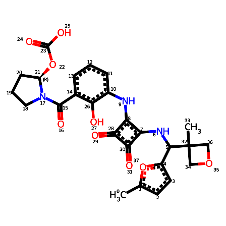 Cc1ccc(C(Nc2c(Nc3cccc(C(=O)N4CCC[C@H]4OC(=O)O)c3O)c(=O)c2=O)C2(C)COC2)o1